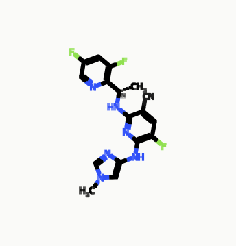 C[C@H](Nc1nc(Nc2cn(C)cn2)c(F)cc1C#N)c1ncc(F)cc1F